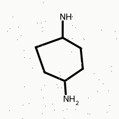 [NH]C1CCC(N)CC1